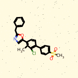 Cc1c(-c2cnc(Cc3ccccc3)o2)ccc(-c2ccc(S(C)(=O)=O)cc2)c1Cl